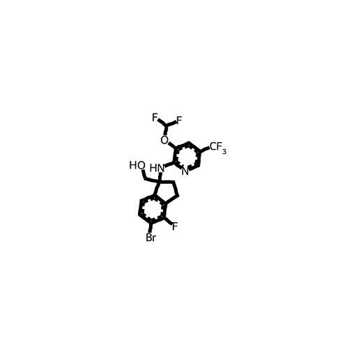 OCC1(Nc2ncc(C(F)(F)F)cc2OC(F)F)CCc2c1ccc(Br)c2F